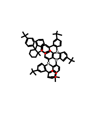 CC(C)(C)c1ccc(C23CCCCC2(C)N(c2cc4c5c(c2)N(c2ccc(C(C)(C)C)cc2-c2ccccc2)c2cc(C(C)(C)C)ccc2B5c2cc(C(C)(C)C)ccc2N4c2ccc(C(C)(C)C)cc2-c2ccccc2)c2ccccc23)cc1